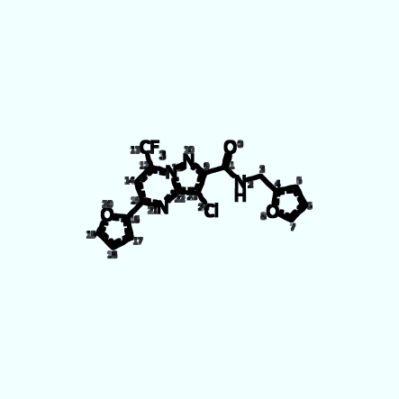 O=C(NCc1ccco1)c1nn2c(C(F)(F)F)cc(-c3ccco3)nc2c1Cl